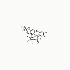 Cc1c(C)c(C)c2c(c1C)Oc1c(C)c(OS(=O)(=O)C(F)(F)F)c(C)c(C)c1C21OC(=O)c2c(C)c(C)c(C)c(C)c21